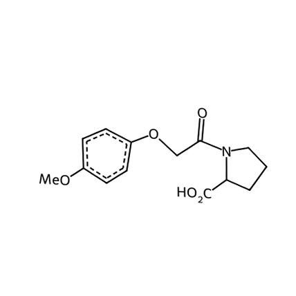 COc1ccc(OCC(=O)N2CCCC2C(=O)O)cc1